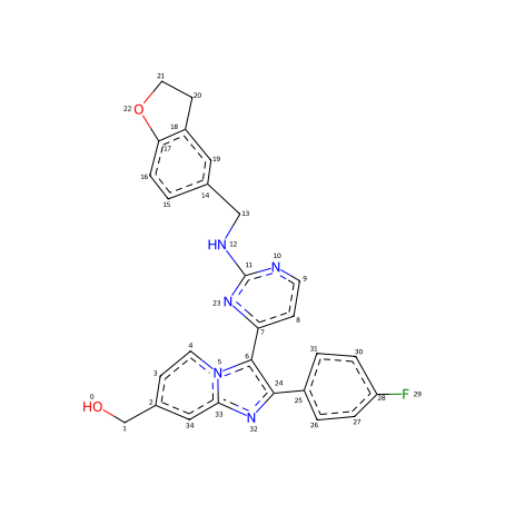 OCc1ccn2c(-c3ccnc(NCc4ccc5c(c4)CCO5)n3)c(-c3ccc(F)cc3)nc2c1